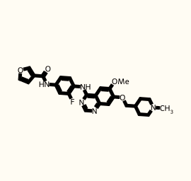 COc1cc2c(Nc3ccc(NC(=O)c4ccoc4)cc3F)ncnc2cc1OCC1CCN(C)CC1